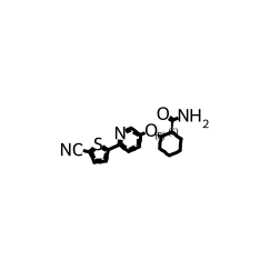 N#Cc1ccc(-c2ccc(O[C@@H]3CCCC[C@@H]3C(N)=O)cn2)s1